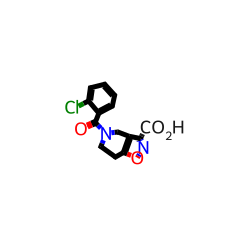 O=C(O)c1noc2c1CN(C(=O)c1ccccc1Cl)CC2